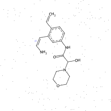 C=Cc1ccc(NC(=O)C(O)N2CCOCC2)cc1/C=C\N